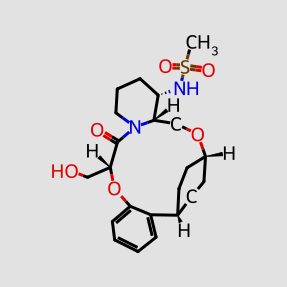 CS(=O)(=O)N[C@H]1CCCN2C(=O)[C@@H](CO)Oc3ccccc3[C@H]3CC[C@H](CC3)OC[C@@H]12